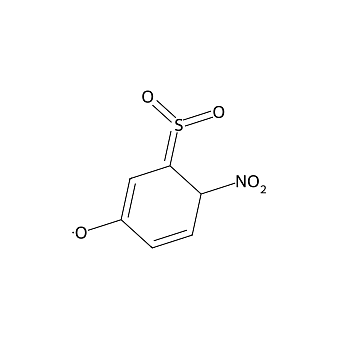 [O]C1=CC(=S(=O)=O)C([N+](=O)[O-])C=C1